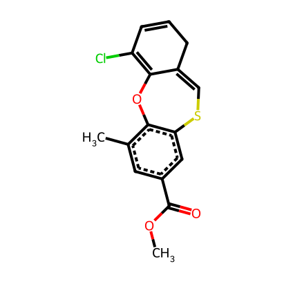 COC(=O)c1cc(C)c2c(c1)SC=C1CC=CC(Cl)=C1O2